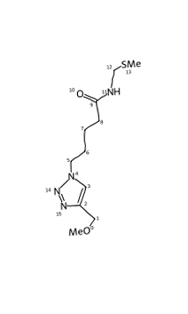 COCc1cn(CCCCC(=O)NCSC)nn1